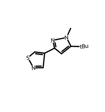 Cn1nc(-c2cnsc2)cc1C(C)(C)C